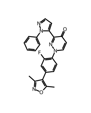 Cc1noc(C)c1-c1ccc(-n2ccc(=O)c(-c3ccnn3-c3ccccc3)n2)c(F)c1